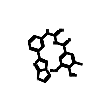 COc1cc(C(=O)NC(=N)Nc2cccc(-c3cn4ccsc4n3)c2)cc(C)c1OC